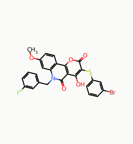 COc1ccc2c3oc(=O)c(Sc4cccc(Br)c4)c(O)c3c(=O)n(Cc3cccc(F)c3)c2c1